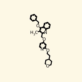 Cc1c(COc2ccnc(OCCC3CCOCC3)c2)nc2ccccc2c1OCc1ccccc1